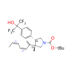 C=C(/C=C\C=C/C)[C@@]1(C)CN(C(=O)OC(C)(C)C)C[C@H]1c1ccc(C(O)(C(F)(F)F)C(F)(F)F)cc1